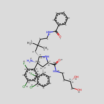 CC(C)(CCNC(=O)c1ccccc1)C[C@@H]1N[C@@H](C(=O)NCC[C@H](O)CO)[C@H](c2cccc(Cl)c2F)[C@@]1(N)c1ccc(Cl)cc1F